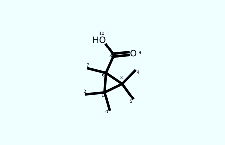 CC1(C)C(C)(C)C1(C)C(=O)O